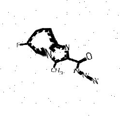 Cc1c(C(=O)N=[N+]=[N-])nc2ccc(F)cn12